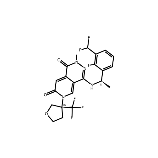 C[C@@H](Nc1nn(C)c(=O)c2cc(=O)n([C@]3(C(F)(F)F)CCOC3)cc12)c1cccc(C(F)F)c1F